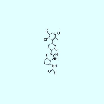 C=CC(=O)Nc1cccc(F)c1Nc1ncc2cc(-c3c(C)c(OC)cc(OC)c3Cl)ccc2n1